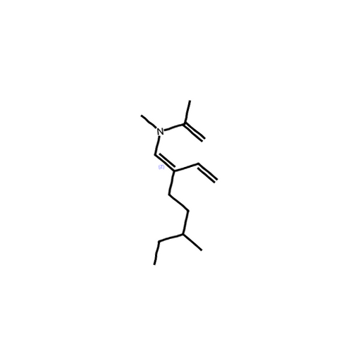 C=C/C(=C\N(C)C(=C)C)CCC(C)CC